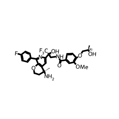 COc1cc(C(=O)NC[C@@](O)(c2cc3c(c(-c4ccc(F)cc4)n2)OCC[C@]3(C)N)C(F)(F)F)ccc1OC[C@@H](C)O